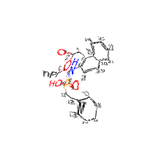 CCCOC(=O)Cc1c(NP(=O)(O)Cc2ccccc2)ccc2ccccc12